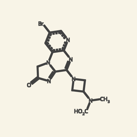 CN(C(=O)O)C1CN(C2=Nc3ncc(Br)cc3N3CC(=O)N=C23)C1